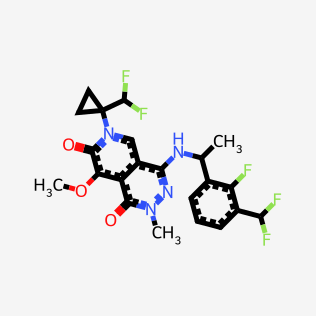 COc1c(=O)n(C2(C(F)F)CC2)cc2c(NC(C)c3cccc(C(F)F)c3F)nn(C)c(=O)c12